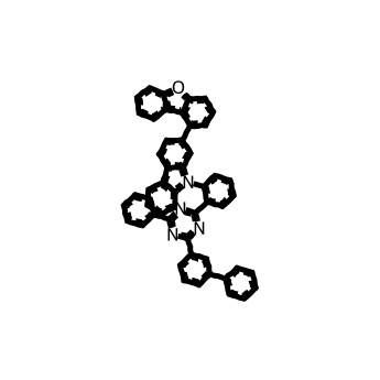 c1ccc(-c2cccc(-c3nc(-c4ccccc4)nc(-c4ccccc4-n4c5ccccc5c5ccc(-c6cccc7oc8ccccc8c67)cc54)n3)c2)cc1